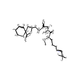 CO[C@H](CCC/C=C/C(C)(C)C)C(=O)N[C@@H](C)C(=O)NCC1CC2(CCCCC2)C(=O)O1